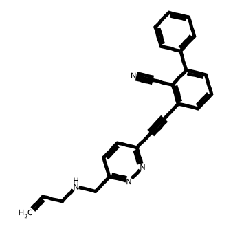 C=CCNCc1ccc(C#Cc2cccc(-c3ccccc3)c2C#N)nn1